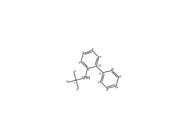 CC(C)(C)Pc1ccccc1-c1ccccc1